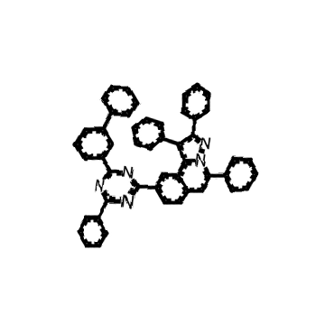 c1ccc(-c2cccc(-c3nc(-c4ccccc4)nc(-c4ccc5cc(-c6ccccc6)n6nc(-c7ccccc7)c(-c7ccccc7)c6c5c4)n3)c2)cc1